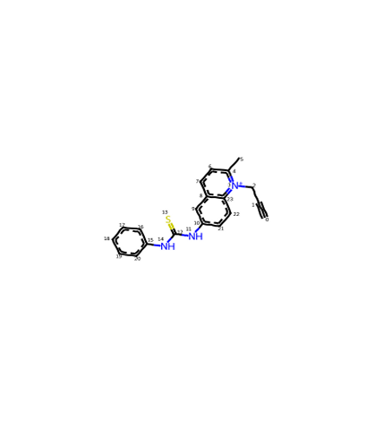 C#CC[n+]1c(C)ccc2cc(NC(=S)Nc3ccccc3)ccc21